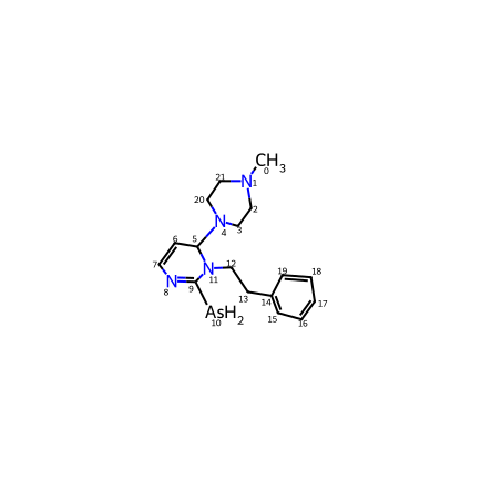 CN1CCN(C2C=CN=C([AsH2])N2CCc2ccccc2)CC1